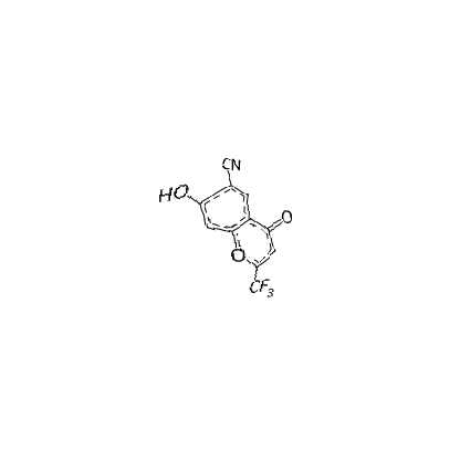 N#Cc1cc2c(=O)cc(C(F)(F)F)oc2cc1O